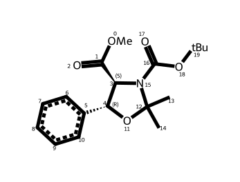 COC(=O)[C@@H]1[C@@H](c2ccccc2)OC(C)(C)N1C(=O)OC(C)(C)C